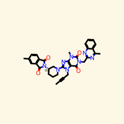 CC#CCn1c(N2CCC[C@H](N3C(=O)c4ccc(C)cc4C3=O)C2)nc2c1c(=O)n(Cc1nc(C)c3ccccc3n1)c(=O)n2C